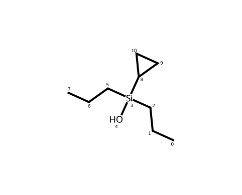 CCC[Si](O)(CCC)C1CC1